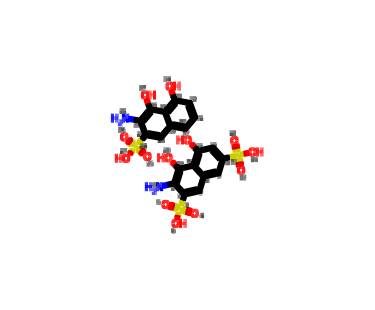 Nc1c(S(=O)(=O)O)cc2cc(S(=O)(=O)O)cc(O)c2c1O.Nc1c(S(=O)(=O)O)cc2cccc(O)c2c1O